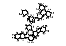 c1ccc(-c2nc(-c3ccc(-n4c5ccccc5c5cc6ccccc6cc54)c(-c4cccc5c4sc4ccccc45)c3)nc(-c3ccc4c5ccccc5c5ccccc5c4c3)n2)cc1